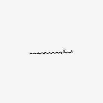 CCCCCC=CCC=CCCCCCCCCOC(=O)CCCBr